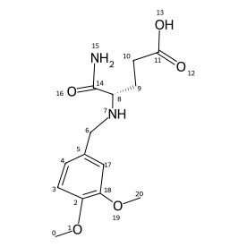 COc1ccc(CN[C@@H](CCC(=O)O)C(N)=O)cc1OC